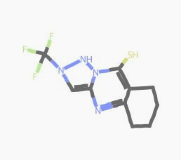 FC(F)(F)N1C=C2N=C3CCCCC3=C(S)N2N1